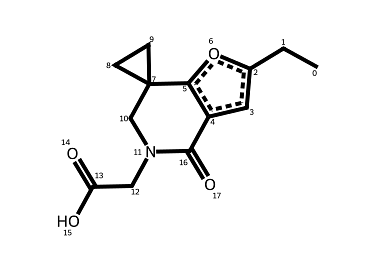 CCc1cc2c(o1)C1(CC1)CN(CC(=O)O)C2=O